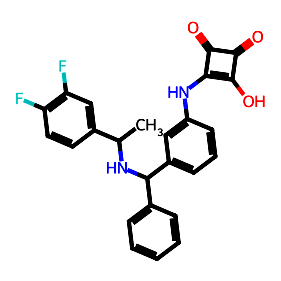 CC(NC(c1ccccc1)c1cccc(Nc2c(O)c(=O)c2=O)c1)c1ccc(F)c(F)c1